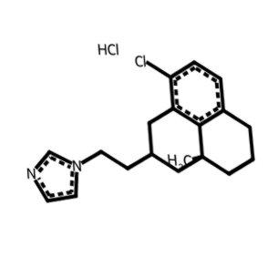 CC12CCCc3ccc(Cl)c(c31)CC(CCn1ccnc1)C2.Cl